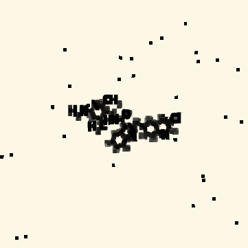 Cc1cc(N)nc(C)c1CNC(=O)c1c2ccccc2nn1Cc1ccc2ncc(Cl)cc2c1